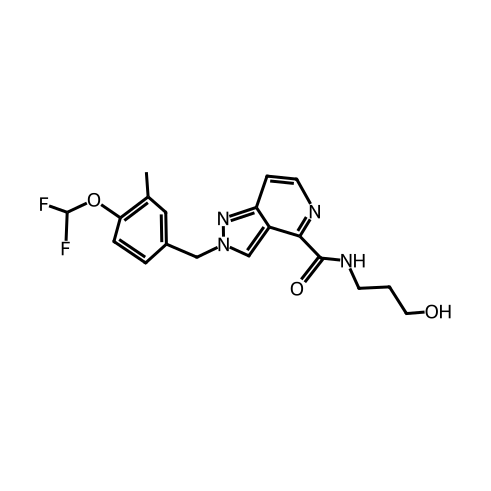 Cc1cc(Cn2cc3c(C(=O)NCCCO)nccc3n2)ccc1OC(F)F